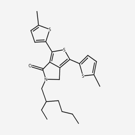 CCCCC(CC)CN1Cc2c(-c3ccc(C)s3)sc(-c3ccc(C)s3)c2C1=O